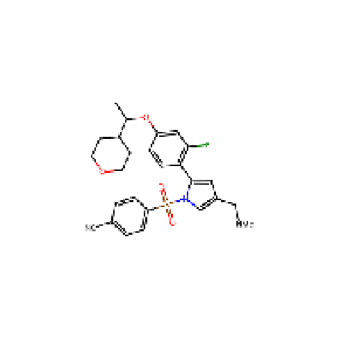 CNCc1cc(-c2ccc(OC(C)C3CCOCC3)cc2F)n(S(=O)(=O)c2ccc(C#N)cc2)c1